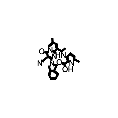 Cc1cc(C(C)Nc2ccc(C)nc2C(=O)O)c2nc(N3Cc4ccccc4C3)c(C#N)c(=O)n2c1